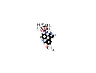 COc1ccc(-c2ccncc2)cc1/C=N\[C@H]1CC[C@H](N(C)C(=O)OC(C)(C)C)CC1